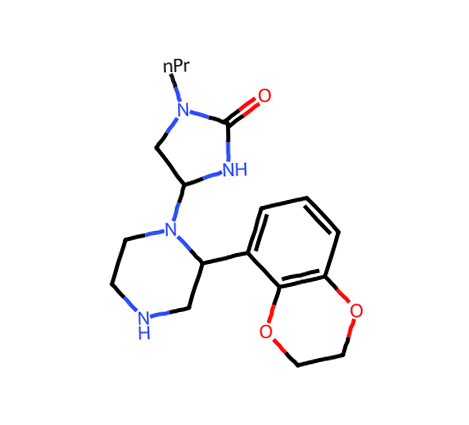 CCCN1CC(N2CCNCC2c2cccc3c2OCCO3)NC1=O